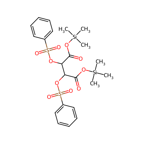 C[Si](C)(C)OC(=O)C(OS(=O)(=O)c1ccccc1)C(OS(=O)(=O)c1ccccc1)C(=O)O[Si](C)(C)C